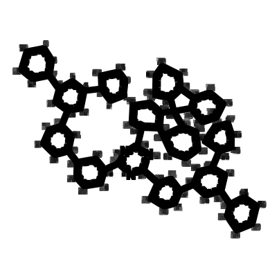 c1ccc(-c2cc(-c3ccccc3)cc(-c3cccc(-c4cccc(-c5nc(-c6cccc(-c7cc(-c8ccccc8)cc(-c8ccccc8)c7)c6)nc(-c6cccc7c6-c6ccccc6C76c7ccccc7-c7ccccc76)n5)c4)c3)c2)cc1